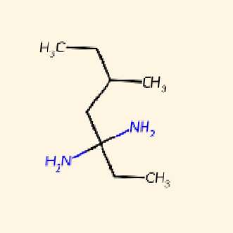 CCC(C)CC(N)(N)CC